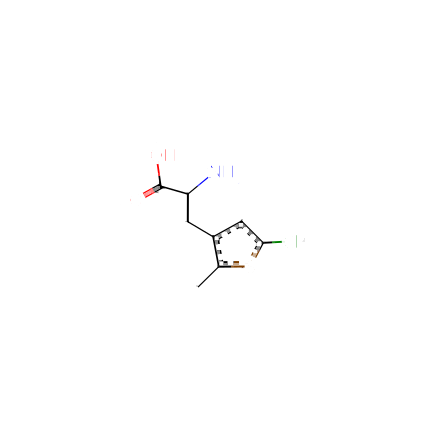 Cc1sc(Cl)cc1CC(N)C(=O)O